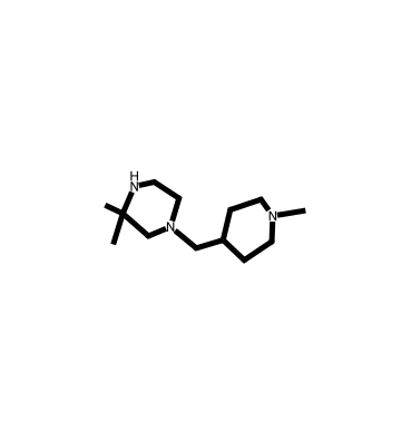 CN1CCC(CN2CCNC(C)(C)C2)CC1